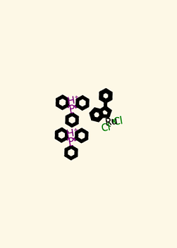 C1CCC([PH+](C2CCCCC2)C2CCCCC2)CC1.C1CCC([PH+](C2CCCCC2)C2CCCCC2)CC1.[Cl][Ru]([Cl])=[C]1C=C(c2ccccc2)c2ccccc21